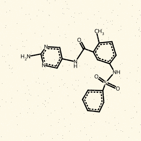 Cc1ccc(NS(=O)(=O)c2ccccc2)cc1C(=O)Nc1cnc(N)nc1